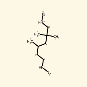 CCNCCC(C)CC(C)(C)CNCC